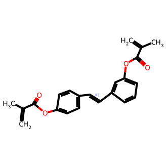 C=C(C)C(=O)Oc1ccc(/C=C/c2cccc(OC(=O)C(=C)C)c2)cc1